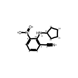 N#Cc1cccc([N+](=O)[O-])c1NC1CCCC1